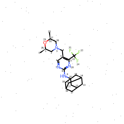 C[C@@H]1CN(Cc2cnc(NC34CC5CC(CC(C5)C3)C4)nc2C(F)(F)F)C[C@H](C)O1